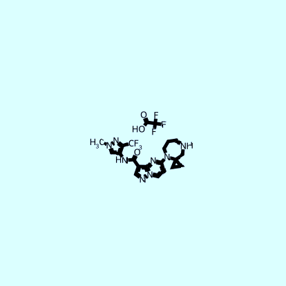 Cn1cc(NC(=O)c2cnn3ccc(N4CCCNCC45CC5)nc23)c(C(F)(F)F)n1.O=C(O)C(F)(F)F